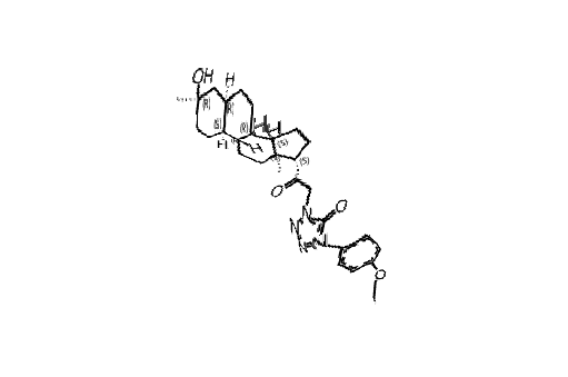 COc1ccc(-n2nnn(CC(=O)[C@H]3CC[C@H]4[C@@H]5CC[C@@H]6C[C@](C)(O)CC[C@@H]6[C@H]5CC[C@]34C)c2=O)cc1